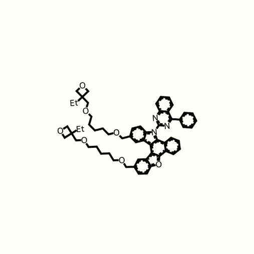 CCC1(COCCCCCOCc2ccc3oc4c5ccccc5c5c(c6cc(COCCCCCOCC7(CC)COC7)ccc6n5-c5nc(-c6ccccc6)c6ccccc6n5)c4c3c2)COC1